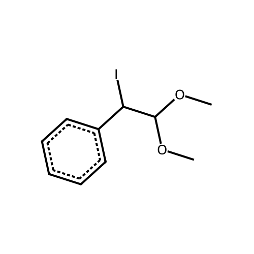 COC(OC)C(I)c1ccccc1